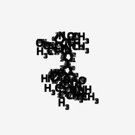 CCn1c(-c2cccnc2[C@H](C)OC)c(CC(C)(C)COC=O)c2cc(-c3cc(O)cc(C[C@H](NC(=O)C(C(C)C)N(C)C(=O)[C@H]4CCCNC4)C(=O)N4CCC[C@@H](C)N4)c3)ccc21